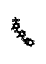 Cc1c(Nc2ccc(S(C)(=O)=O)cc2F)ncnc1OC1CC2CCCC(C1)N2